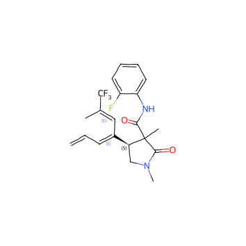 C=C/C=C(\C=C(/C)C(F)(F)F)[C@@H]1CN(C)C(=O)C1(C)C(=O)Nc1ccccc1F